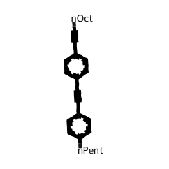 CCCCCCCCC#Cc1ccc(C#Cc2ccc(CCCCC)cc2)cc1